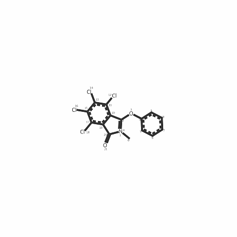 C[N+]1=C(Oc2ccccc2)c2c(Cl)c(Cl)c(Cl)c(Cl)c2C1=O